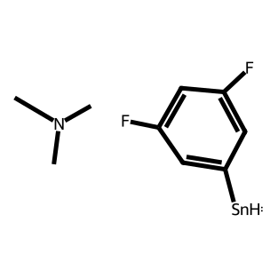 CN(C)C.Fc1cc(F)c[c]([SnH])c1